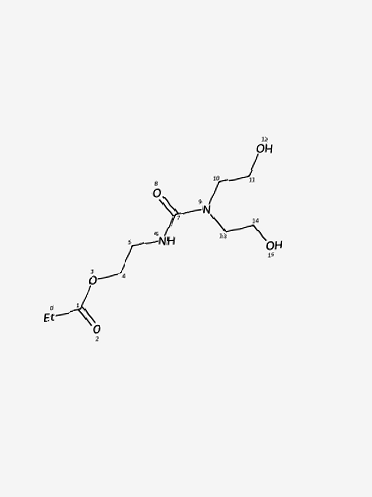 CCC(=O)OCCNC(=O)N(CCO)CCO